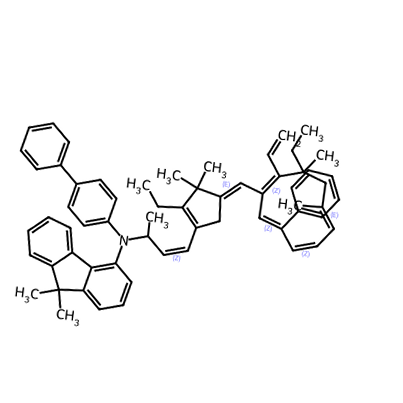 C=C/C1=C(\C=C2/CC(/C=C\C(C)N(c3ccc(-c4ccccc4)cc3)c3cccc4c3-c3ccccc3C4(C)C)=C(CC)C2(C)C)/C=C(c2ccccc2)/C=C\C=C(/C)CC1(C)CC